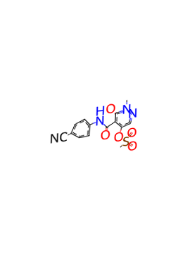 Cn1ncc(OS(C)(=O)=O)c(C(=O)Nc2ccc(C#N)cc2)c1=O